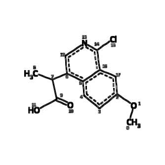 COc1ccc2c(C(C)C(=O)O)cnc(Cl)c2c1